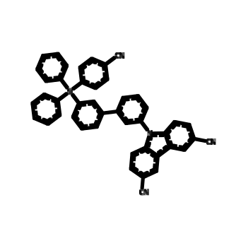 N#Cc1ccc([Si](c2ccccc2)(c2ccccc2)c2cccc(-c3cccc(-n4c5ccc(C#N)cc5c5cc(C#N)ccc54)c3)c2)cc1